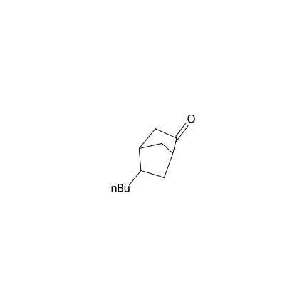 CCCCC1CC2CC1CC2=O